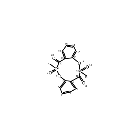 CP1(=O)Oc2ccccc2C(=O)P(C)(=O)Oc2ccccc2C1=O